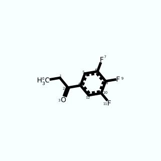 CCC(=O)c1cc(F)c(F)c(F)c1